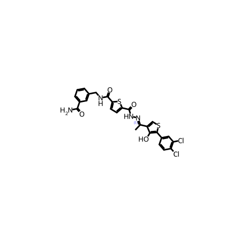 C/C(=N\NC(=O)c1ccc(C(=O)NCc2cccc(C(N)=O)c2)s1)c1csc(-c2ccc(Cl)c(Cl)c2)c1O